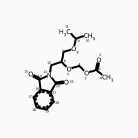 CC(=O)OCOC(COC(C)C)CN1C(=O)c2ccccc2C1=O